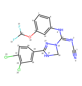 N#C/N=C(/Nc1cccc(OC(F)F)c1)N1CNC(c2ccc(Cl)c(Cl)c2)=N1